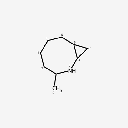 CC1CCCCC2CC2N1